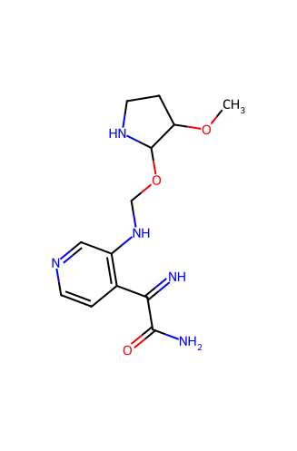 COC1CCNC1OCNc1cnccc1C(=N)C(N)=O